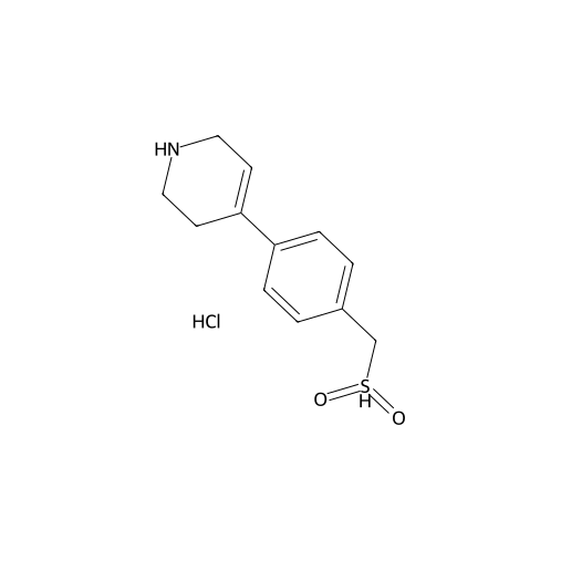 Cl.O=[SH](=O)Cc1ccc(C2=CCNCC2)cc1